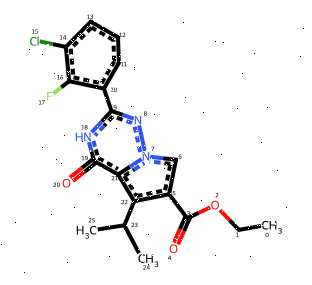 CCOC(=O)c1cn2nc(-c3cccc(Cl)c3F)[nH]c(=O)c2c1C(C)C